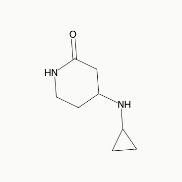 O=C1CC(NC2CC2)CCN1